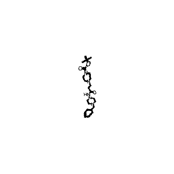 CC(C)(C)OC(=O)N1CCN(CCC(=O)NN2CCN(Cc3ccccc3)CC2)CC1